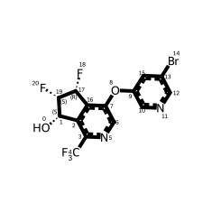 O[C@H]1c2c(C(F)(F)F)ncc(Oc3cncc(Br)c3)c2[C@@H](F)[C@H]1F